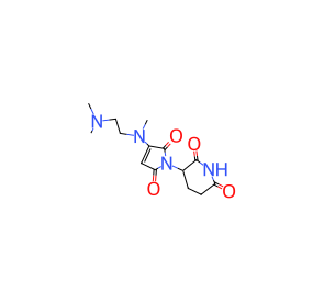 CN(C)CCN(C)C1=CC(=O)N(C2CCC(=O)NC2=O)C1=O